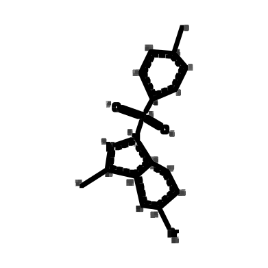 Cc1ccc(S(=O)(=O)n2nc(C)c3cc(Br)ccc32)cc1